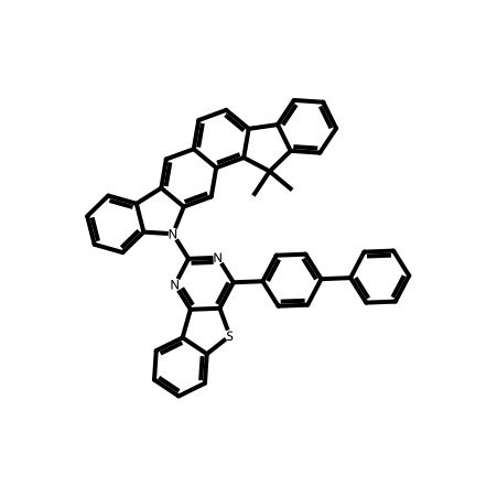 CC1(C)c2ccccc2-c2ccc3cc4c5ccccc5n(-c5nc(-c6ccc(-c7ccccc7)cc6)c6sc7ccccc7c6n5)c4cc3c21